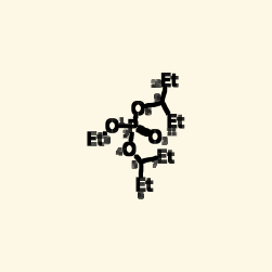 CCOP(=O)(OC(CC)CC)OC(CC)CC